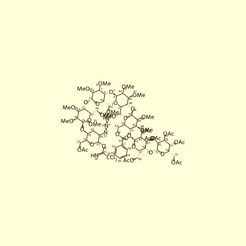 COCC1O[C@@H](O[C@H]2C(OC)C(OC)[C@@H](O[C@H]3C(OC)C(OC)[C@H](O[C@@H]4C(COC(C)=O)OC(OC(=N)C(Cl)(Cl)Cl)C(N=[N+]=[N-])[C@H]4OC)O[C@H]3COC)O[C@H]2COC)C(OC)[C@@H](OC)[C@@H]1O[C@@H]1OC(COC(=O)c2ccccc2)[C@@H](O[C@@H]2O[C@@H](COC(C)=O)[C@@H](O[C@H]3O[C@@H](COC(C)=O)[C@@H](OC(C)=O)C(OC(C)=O)C3OC(C)=O)C(OC(C)=O)C2OC(C)=O)[C@H](OC)C1OC